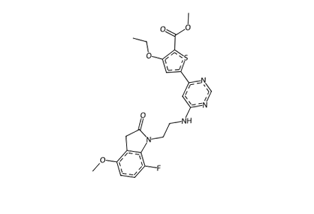 CCOc1cc(-c2cc(NCCN3C(=O)Cc4c(OC)ccc(F)c43)ncn2)sc1C(=O)OC